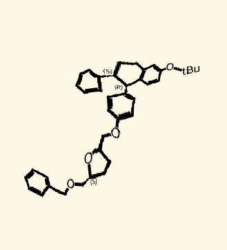 CC(C)(C)Oc1ccc2c(c1)CC[C@H](c1ccccc1)[C@@H]2c1ccc(OCC2CC[C@@H](COCc3ccccc3)O2)cc1